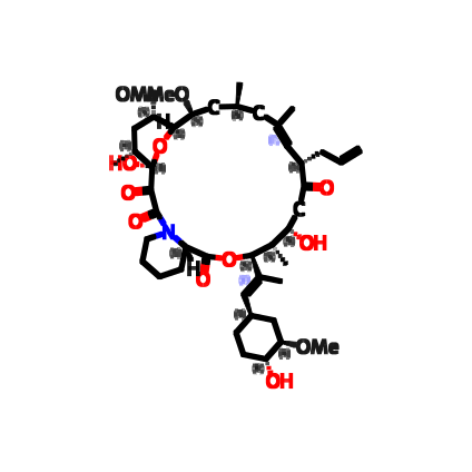 C=CC[C@H]1/C=C(\C)C[C@H](C)C[C@H](OC)[C@@H]2O[C@@](O)(C(=O)C(=O)N3CCCC[C@H]3C(=O)O[C@H](/C(C)=C/[C@@H]3CC[C@@H](O)[C@H](OC)C3)[C@@H](C)[C@@H](O)CC1=O)[C@H](C)C[C@@H]2OC